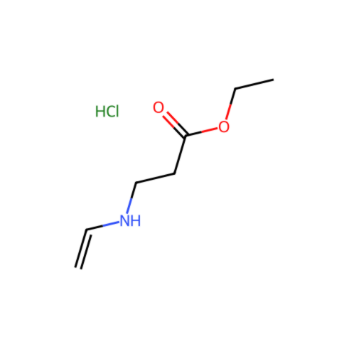 C=CNCCC(=O)OCC.Cl